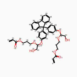 C=CC(=O)OCCCOC(CO)Oc1ccc(C2(c3ccc(OC(CO)OCCCOC(=O)C=C)cc3)c3ccccc3-c3ccccc32)cc1